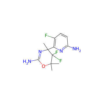 CC1(C)OC(N)=NC(C)(c2nc(N)ccc2F)C1(F)F